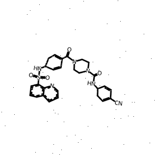 N#CC1=CCC(NC(=O)N2CCN(C(=O)C3=CCC(NS(=O)(=O)c4cccc5cccnc45)C=C3)CC2)C=C1